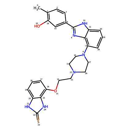 Cc1ccc(-c2nc3c(N4CCN(CCOc5cccc6[nH]c(=S)[nH]c56)CC4)cccc3[nH]2)cc1O